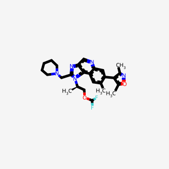 Cc1cc2c(cc1-c1c(C)noc1C)ncc1nc(CN3CCCCC3)n([C@H](C)COC(F)F)c12